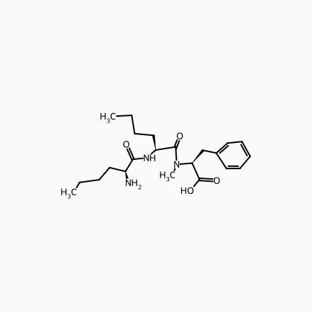 CCCC[C@H](NC(=O)[C@@H](N)CCCC)C(=O)N(C)[C@@H](Cc1ccccc1)C(=O)O